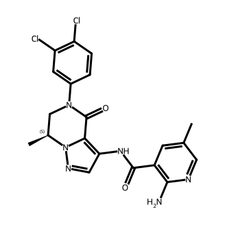 Cc1cnc(N)c(C(=O)Nc2cnn3c2C(=O)N(c2ccc(Cl)c(Cl)c2)C[C@@H]3C)c1